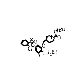 CCOC(=O)c1c(C)cc(OS(=O)(=O)c2ccccc2Cl)cc1OCC1CCN(C(=O)OC(C)(C)C)CC1